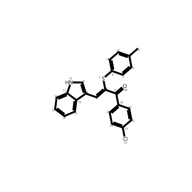 Cc1ccc(SC(=Cc2c[nH]c3ccccc23)C(=O)c2ccc(Cl)cc2)cc1